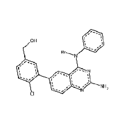 Nc1nc(N(Br)c2ccccc2)c2cc(-c3cc(CO)ccc3Cl)ccc2n1